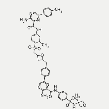 Cc1ccc(-c2cnc(N)c(C(=O)NC3=CC=C(S(=O)(=O)CC4CC(Cc5ccc(-c6cnc(N)c(C(=O)Nc7ccc(S(=O)(=O)NC8(C)COC8)cc7)n6)cc5)O4)C(C)C3)n2)cc1